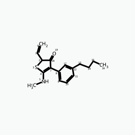 C=CC1SC(NC)=C(c2cccc(CCCC)c2)C1=O